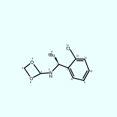 CC(C)(C)[C@H](NC1OCO1)c1ccccc1Cl